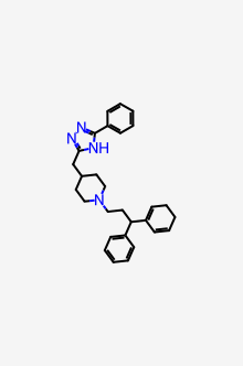 C1=CC(C(CCN2CCC(Cc3nnc(-c4ccccc4)[nH]3)CC2)c2ccccc2)=CCC1